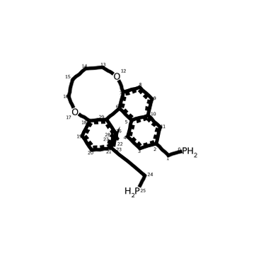 PCc1ccc2c3c(ccc2c1)OCCCCOc1ccc2cc(CP)ccc2c1-3